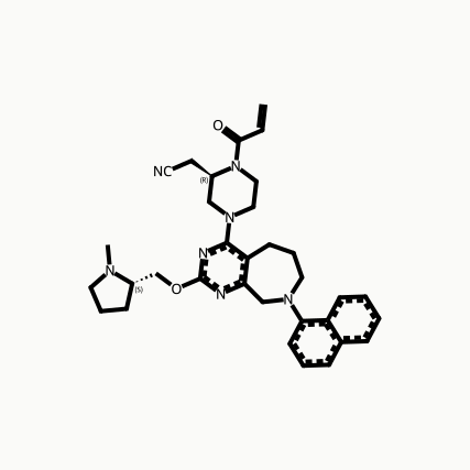 C=CC(=O)N1CCN(c2nc(OC[C@@H]3CCCN3C)nc3c2CCCN(c2cccc4ccccc24)C3)C[C@H]1CC#N